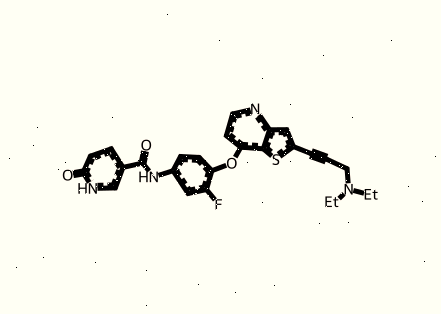 CCN(CC)CC#Cc1cc2nccc(Oc3ccc(NC(=O)c4ccc(=O)[nH]c4)cc3F)c2s1